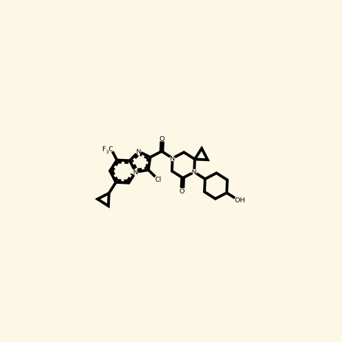 O=C(c1nc2c(C(F)(F)F)cc(C3CC3)cn2c1Cl)N1CC(=O)N(C2CCC(O)CC2)C2(CC2)C1